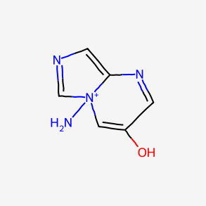 N[N+]12C=NC=C1N=CC(O)=C2